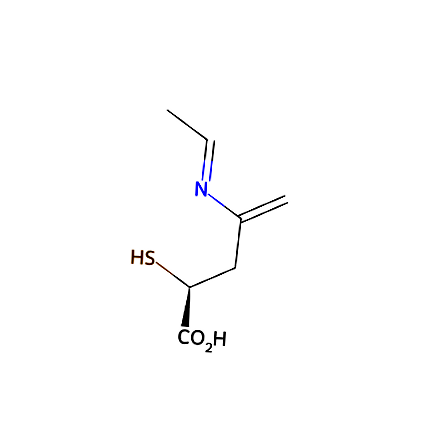 C=C(C[C@H](S)C(=O)O)N=CC